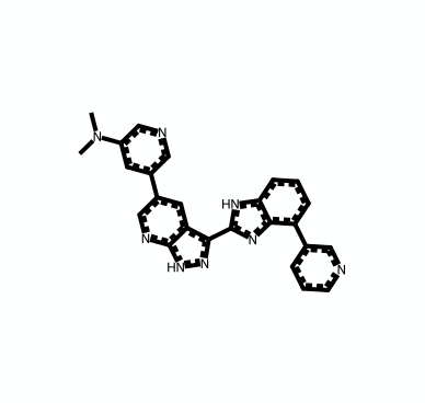 CN(C)c1cncc(-c2cnc3[nH]nc(-c4nc5c(-c6cccnc6)cccc5[nH]4)c3c2)c1